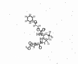 COC(=O)CNC(=O)NCC1(C)CC(NC(=O)OCCOc2ccccc2)CC(C)(C)C1